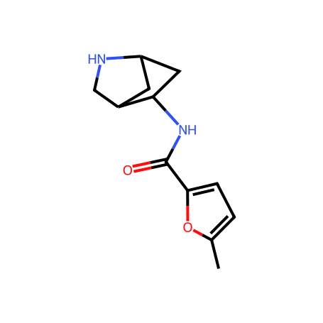 Cc1ccc(C(=O)NC2CC3CC2CN3)o1